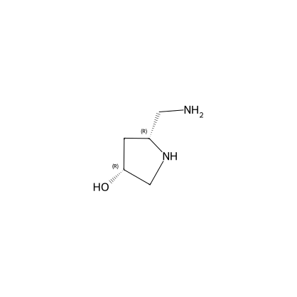 NC[C@H]1C[C@@H](O)CN1